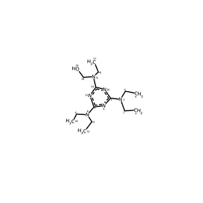 CCN(CC)c1nc(N(CC)CC)nc(N(CC)CO)n1